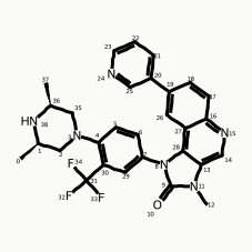 C[C@@H]1CN(c2ccc(-n3c(=O)n(C)c4cnc5ccc(-c6cccnc6)cc5c43)cc2C(F)(F)F)C[C@H](C)N1